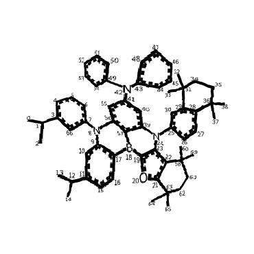 CC(C)c1cccc(N2c3cc(C(C)C)ccc3B3c4oc5c(c4N(c4ccc6c(c4)C(C)(C)CCC6(C)C)c4cc(N(c6ccccc6)c6ccccc6)cc2c43)C(C)(C)CCC5(C)C)c1